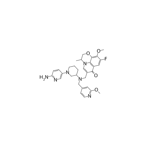 COc1cc(CN(Cc2cn3c4c(c(OC)c(F)cc4c2=O)OCC3C)C2CCCN(c3ccc(N)nc3)C2)ccn1